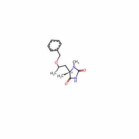 CC(C[C@@]1(C)C(=O)NC(=O)N1C)OCc1ccccc1